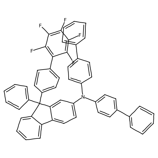 Fc1c(F)c(F)c(-c2ccc(C3(c4ccccc4)c4ccccc4-c4ccc(N(c5ccc(-c6ccccc6)cc5)c5ccc(-c6ccccc6)cc5)cc43)cc2)c(F)c1F